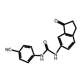 N#Cc1ccc(NC(=O)Nc2ccc3c(c2)C(=O)CC3)cc1